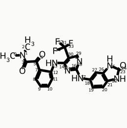 CN(C)C(=O)C(=O)c1ccccc1Nc1nc(Nc2ccc3[nH]c(=O)[nH]c3c2)ncc1C(F)(F)F